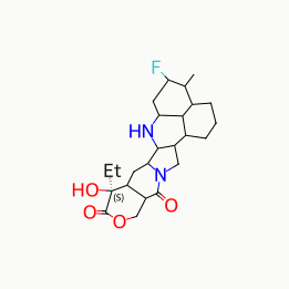 CC[C@@]1(O)C(=O)OCC2C(=O)N3CC4C5CCCC6C(C)C(F)CC(NC4C3CC21)C65